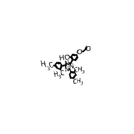 Cc1ccc(-c2nc(-c3ccc(C)cc3C)nc(-c3ccc(OCC4CO4)cc3O)n2)c(C)c1